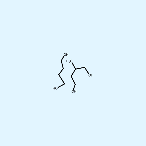 CC(CO)CCO.OCCCCO